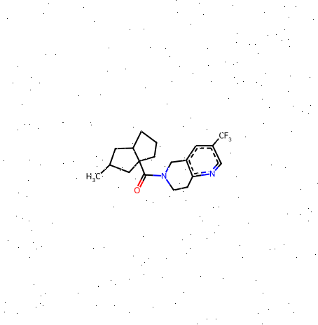 CC1CC2CCCC2(C(=O)N2CCc3ncc(C(F)(F)F)cc3C2)C1